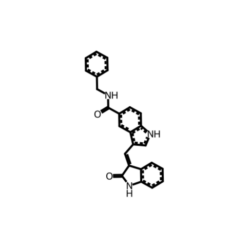 O=C1Nc2ccccc2/C1=C\c1c[nH]c2ccc(C(=O)NCc3ccccc3)cc12